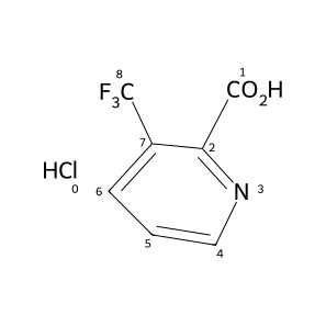 Cl.O=C(O)c1ncccc1C(F)(F)F